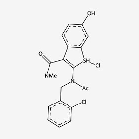 CNC(=O)C1=C(N(Cc2ccccc2Cl)C(C)=O)[SH](Cl)c2cc(O)ccc21